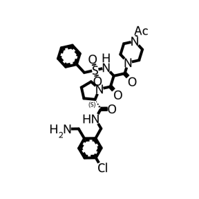 CC(=O)N1CCN(C(=O)C(NS(=O)(=O)Cc2ccccc2)C(=O)N2CCC[C@H]2C(=O)NCc2cc(Cl)ccc2CN)CC1